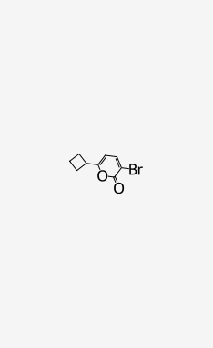 O=c1oc(C2CCC2)ccc1Br